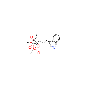 CCC(=O)O[Si](CCCc1cncc2ccccc12)(C1(CC)OO1)C1(CC)OO1